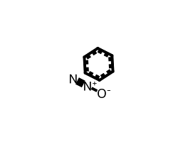 N#[N+][O-].c1ccccc1